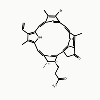 C=Cc1c(C)c2cc3nc(c4c5[nH]c(cc6nc(cc1[nH]2)C(C)=C6CC)c(C)c5C(=O)C4)[C@@H](CCC(N)=O)[C@@H]3C